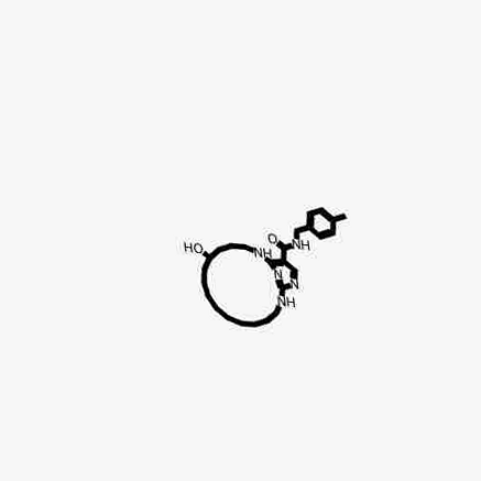 Cc1ccc(CNC(=O)c2cnc3nc2NCCCC(O)CCCCCCCCCN3)cc1